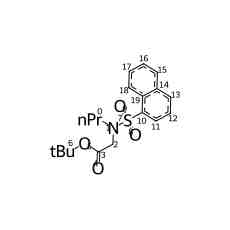 CCCN(CC(=O)OC(C)(C)C)S(=O)(=O)c1cccc2ccccc12